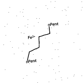 CCCCCCCCCCCCCC.[Fe+2]